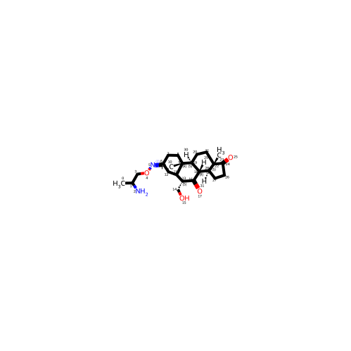 CC(N)CO/N=C1/CC[C@@]2(C)C(C1)[C@@H](CO)C(=O)[C@@H]1[C@@H]2CC[C@]2(C)C(=O)CC[C@@H]12